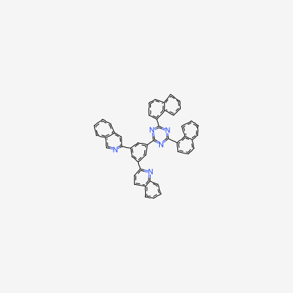 c1ccc2cc(-c3cc(-c4ccc5ccccc5n4)cc(-c4nc(-c5cccc6ccccc56)nc(-c5cccc6ccccc56)n4)c3)ncc2c1